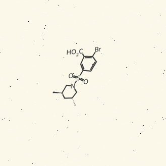 C[C@@H]1C[C@@H](C)CN(S(=O)(=O)c2ccc(Br)c(C(=O)O)c2)C1